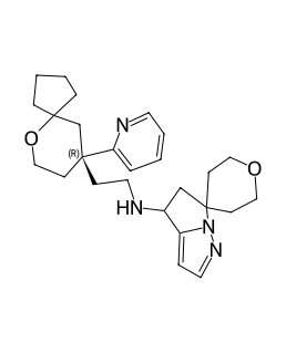 c1ccc([C@]2(CCNC3CC4(CCOCC4)n4nccc43)CCOC3(CCCC3)C2)nc1